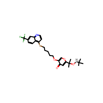 CC(C)(C)[SiH2]OC(C)(C)c1cc(=O)c(OCCCCCSc2ccnc3cc(C(F)(F)F)ccc23)co1